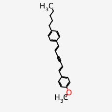 CCCCCc1ccc(C=CC#CC=Cc2ccc(OC)cc2)cc1